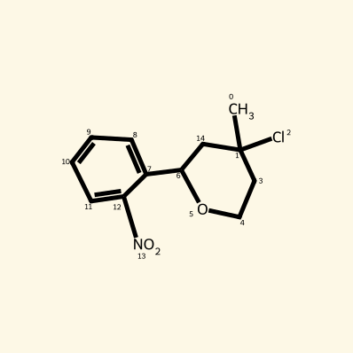 CC1(Cl)CCOC(c2ccccc2[N+](=O)[O-])C1